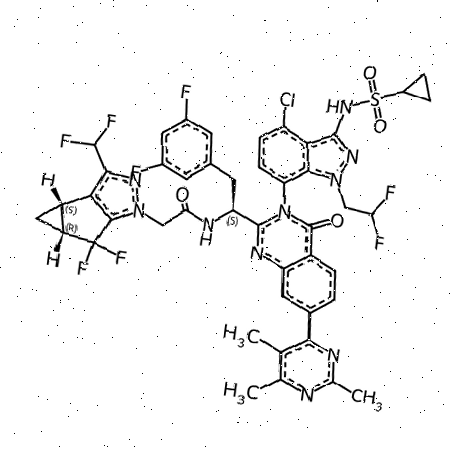 Cc1nc(C)c(C)c(-c2ccc3c(=O)n(-c4ccc(Cl)c5c(NS(=O)(=O)C6CC6)nn(CC(F)F)c45)c([C@H](Cc4cc(F)cc(F)c4)NC(=O)Cn4nc(C(F)F)c5c4C(F)(F)[C@@H]4C[C@H]54)nc3c2)n1